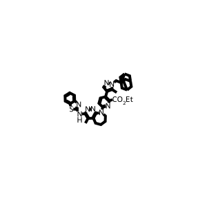 CCOC(=O)c1nc(N2CCCCc3c2nnc(Nc2nc4ccccc4s2)c3C)ccc1-c1cnn(CC23CC4CC(CC(C4)C2)C3)c1C